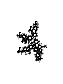 N#Cc1cccc(-c2ccc(-n3c4ccc(-c5ccc(C(F)(F)F)cc5C(F)(F)F)cc4c4cc(-c5ccc(C(F)(F)F)cc5C(F)(F)F)ccc43)c(C#N)c2-n2c3ccc(-c4ccc(C(F)(F)F)cc4C(F)(F)F)cc3c3cc(-c4ccc(C(F)(F)F)cc4C(F)(F)F)ccc32)c1